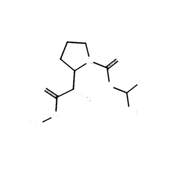 CC(Cl)OC(=O)N1CCCC1[C@H](N)C(=O)OC(C)(C)C